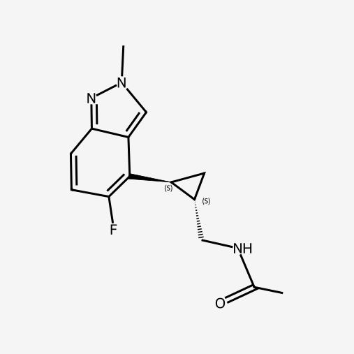 CC(=O)NC[C@H]1C[C@@H]1c1c(F)ccc2nn(C)cc12